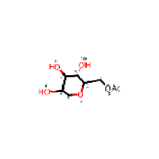 CC(=O)OCC1OCC(O)C(O)[C@@H]1O